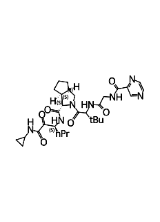 CCC[C@H](NC(=O)[C@@H]1[C@H]2CCC[C@H]2CN1C(=O)C(NC(=O)CNC(=O)c1cnccn1)C(C)(C)C)C(=O)C(=O)NC1CC1